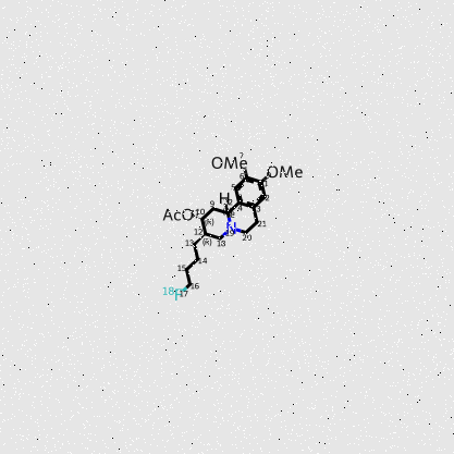 COc1cc2c(cc1OC)[C@H]1C[C@@H](OC(C)=O)[C@H](CCCC[18F])CN1CC2